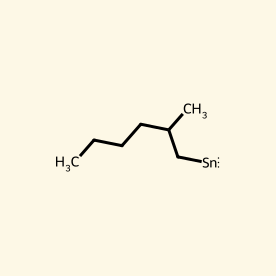 CCCCC(C)[CH2][Sn]